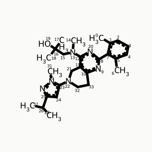 Cc1cccc(C)c1-c1nc2c(c(N(C)CC(C)(C)O)n1)CN(c1cc(C(C)C)nn1C)CC2